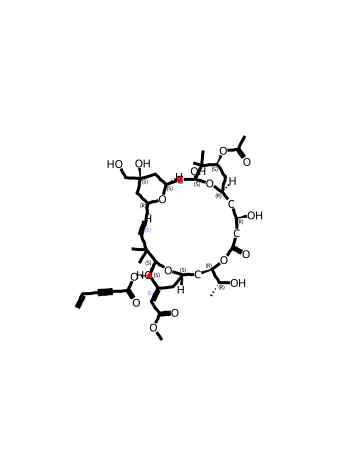 C=CC#CC(=O)O[C@H]1/C(=C/C(=O)OC)C[C@H]2C[C@H]([C@@H](C)O)OC(=O)C[C@H](O)C[C@@H]3C[C@H](OC(C)=O)C(C)(C)[C@](O)(C[C@@H]4C[C@@](O)(CO)C[C@H](/C=C/C(C)(C)[C@]1(O)O2)O4)O3